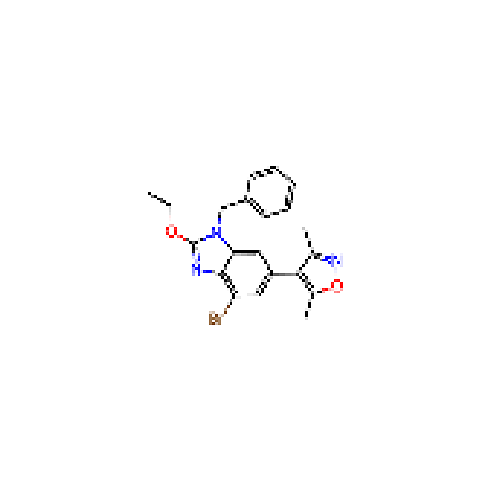 CCOc1nc2c(Br)cc(-c3c(C)noc3C)cc2n1Cc1ccccc1